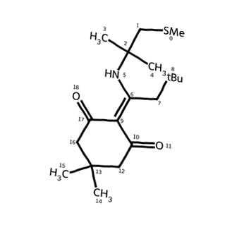 CSCC(C)(C)NC(CC(C)(C)C)=C1C(=O)CC(C)(C)CC1=O